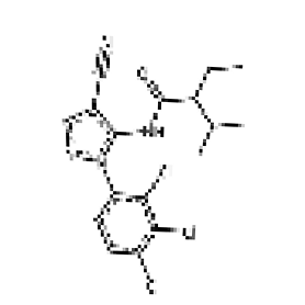 CCC(C(=O)Nc1c(C#N)cnn1-c1ccc(Cl)c(Cl)c1Cl)C(C)C